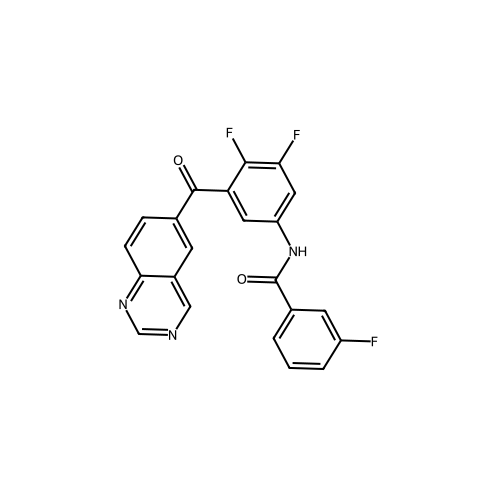 O=C(Nc1cc(F)c(F)c(C(=O)c2ccc3ncncc3c2)c1)c1cccc(F)c1